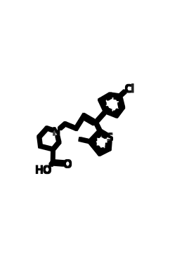 Cc1ccsc1C(=CCCN1CCCC(C(=O)O)C1)c1ccc(Cl)cc1